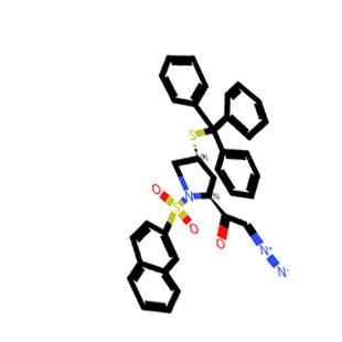 [N-]=[N+]=CC(=O)[C@@H]1C[C@@H](SC(c2ccccc2)(c2ccccc2)c2ccccc2)CN1S(=O)(=O)c1ccc2ccccc2c1